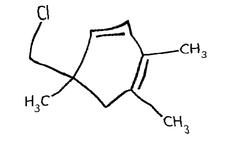 CC1=C(C)CC(C)(CCl)C=C1